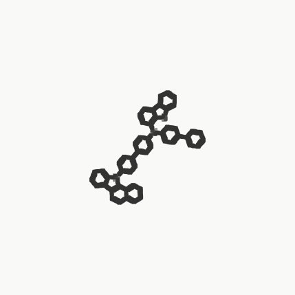 c1ccc(-c2ccc(N(c3ccc(-c4ccc(-n5c6ccccc6c6ccc7ccccc7c65)cc4)cc3)c3cccc4c3sc3ccccc34)cc2)cc1